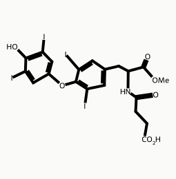 COC(=O)C(Cc1cc(I)c(Oc2cc(I)c(O)c(I)c2)c(I)c1)NC(=O)CCC(=O)O